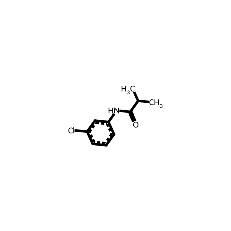 CC(C)C(=O)Nc1cccc(Cl)c1